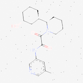 CC(=O)c1cncc(NC(=O)C(=O)N2C[C@@H](C)CC[C@@H]2[C@@H]2CCC[C@@H](O)C2)c1